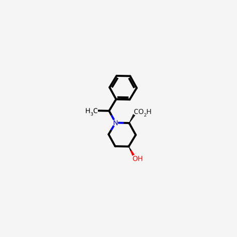 CC(c1ccccc1)N1CC[C@H](O)C[C@@H]1C(=O)O